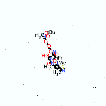 COc1cc(-c2scnc2C)ccc1[C@H](C)NC(=O)[C@@H]1C[C@@H](O)CN1C(=O)[C@H](c1cc(OCCOCCOCCN(C)C(=O)OC(C)(C)C)no1)C(C)C